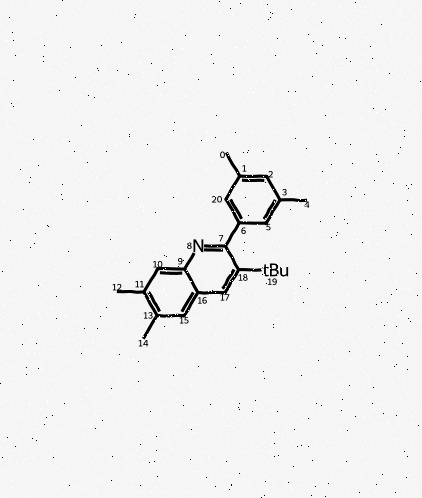 Cc1cc(C)cc(-c2nc3cc(C)c(C)cc3cc2C(C)(C)C)c1